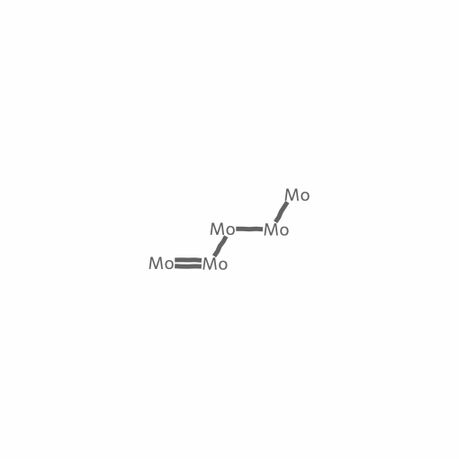 [Mo][Mo][Mo][Mo]=[Mo]